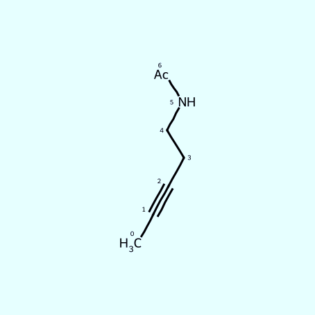 CC#CCCNC(C)=O